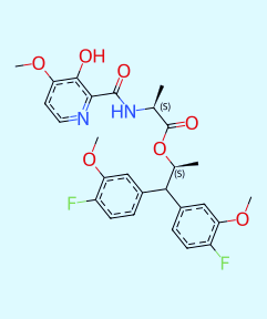 COc1cc(C(c2ccc(F)c(OC)c2)[C@H](C)OC(=O)[C@H](C)NC(=O)c2nccc(OC)c2O)ccc1F